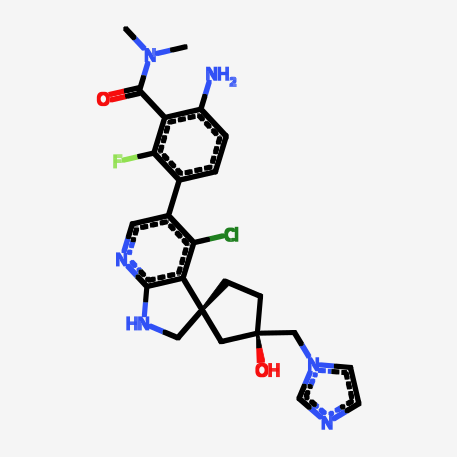 CN(C)C(=O)c1c(N)ccc(-c2cnc3c(c2Cl)[C@@]2(CC[C@](O)(Cn4ccnc4)C2)CN3)c1F